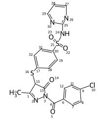 CC1=NN(C(=O)c2ccc(Cl)cc2)C(=O)C1Sc1ccc(S(=O)(=O)Nc2ncccn2)cc1